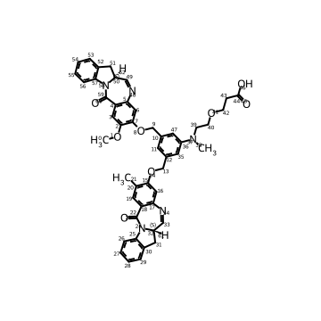 COc1cc2c(cc1OCc1cc(COc3cc4c(cc3C)C(=O)N3c5ccccc5C[C@H]3C=N4)cc(N(C)CCOCCC(=O)O)c1)N=C[C@@H]1Cc3ccccc3N1C2=O